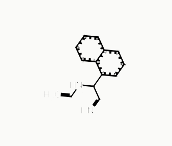 C=CNC(C=N)c1cccc2ccccc12